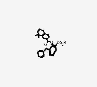 CC1(C)CCCc2ccc(C(=O)Oc3c(Cc4ccccc4)cccc3C(=O)O)cc21